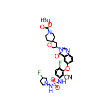 CC(C)(C)OC(=O)N1CCC2(CC1)C[C@@H](n1cnc3ccc(Oc4c(F)ccc(NS(=O)(=O)NN5CC[C@@H](F)C5)c4C#N)cc3c1=O)CO2